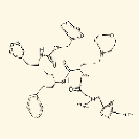 CC(C)c1nc(CN(C)C(=O)N[C@@H](CCN2CCOCC2)C(=O)N[C@@H](CCc2ccccc2)CC[C@H](Cc2ccccc2)NC(=O)OCc2cncs2)cs1